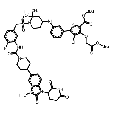 Cn1c(=O)n(C2CCC(=O)NC2=O)c2ccc(C3CCN(C(=O)Nc4cc(CS(=O)(=O)N5CCC(Nc6cccc(-c7sc(C(=O)OC(C)(C)C)c(OCC(=O)OC(C)(C)C)c7Cl)c6)CC5(C)C)ccc4F)CC3)cc21